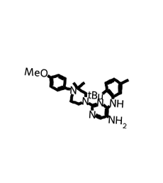 COc1ccc(N2CCN(c3ncc(N)c(Nc4cc(C)ccc4C(C)(C)C)n3)CC2(C)C)cc1